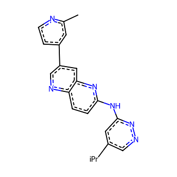 Cc1cc(-c2cnc3ccc(Nc4cc(C(C)C)cnn4)nc3c2)ccn1